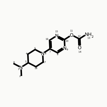 CN(C)C1CCN(c2cnc(OC(N)=O)nc2)CC1